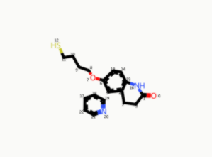 O=C1CCc2cc(OCCCCS)ccc2N1.c1ccncc1